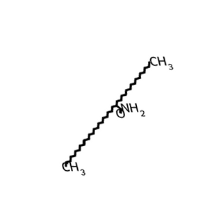 CCCCCCCCC=CCCCCCCCCCCCCC(CCCCCCCCCCCCCCCC)C(N)=O